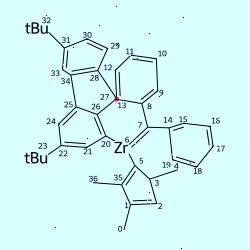 CC1=CC(C)[C]([Zr](=[C](c2ccccc2)c2ccccc2)[c]2cc(C(C)(C)C)cc3c2Cc2ccc(C(C)(C)C)cc2-3)=C1C